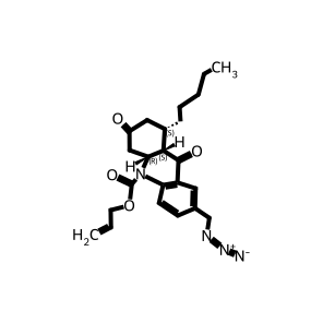 C=CCOC(=O)N1c2ccc(CN=[N+]=[N-])cc2C(=O)[C@H]2[C@@H](CCCCC)CC(=O)C[C@H]21